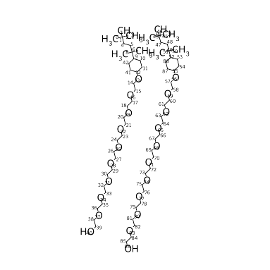 CC(C)(C)CCC(C)(C)C1CCC(OCCOCCOCCOCCOCCOCCOCCOCCOCCO)CC1.CC(C)(C)CCC(C)(C)C1CCC(OCCOCCOCCOCCOCCOCCOCCOCCOCCOCCO)CC1